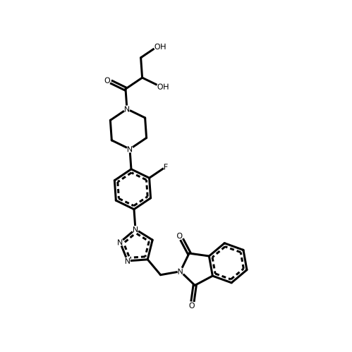 O=C(C(O)CO)N1CCN(c2ccc(-n3cc(CN4C(=O)c5ccccc5C4=O)nn3)cc2F)CC1